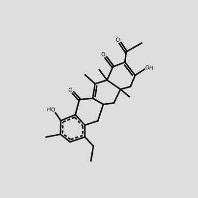 CCc1cc(C)c(O)c2c1CC1CC3(C)CC(O)=C(C(C)=O)C(=O)C3(C)C(C)=C1C2=O